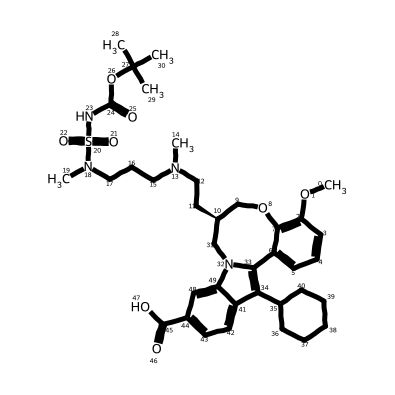 COc1cccc2c1OC[C@H](CCN(C)CCCN(C)S(=O)(=O)NC(=O)OC(C)(C)C)Cn1c-2c(C2CCCCC2)c2ccc(C(=O)O)cc21